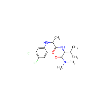 CC(Nc1ccc(Cl)c(Cl)c1)C(=O)N[C@H](C(=O)N(C)C)C(C)C